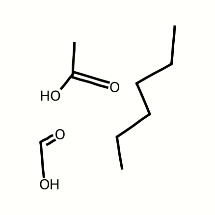 CC(=O)O.CCCCCC.O=CO